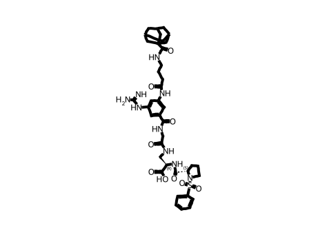 N=C(N)Nc1cc(NC(=O)CCCNC(=O)C23CC4CC(CC(C4)C2)C3)cc(C(=O)NCC(=O)NC[C@@H](NC(=O)[C@@H]2CCCN2S(=O)(=O)c2ccccc2)C(=O)O)c1